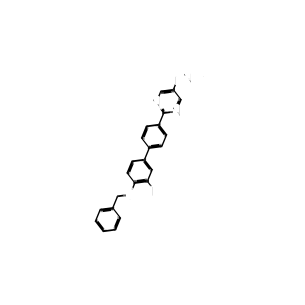 CCCCCCCCCc1cnc(-c2ccc(-c3ccc(OCc4ccccc4)c(F)c3)cc2)nc1